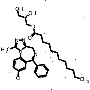 CCCCCCCCCCCC(=O)OCC(O)CO.Cc1nnc2n1-c1ccc(Cl)cc1C(c1ccccc1)=NC2